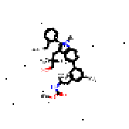 CCn1c(-c2ccccc2COC)c(CC(C)(C)CO)c2cc(-c3cc(CC(NC(=O)OC(C)(C)C)C(=O)O)cc([N+](=O)[O-])c3)ccc21